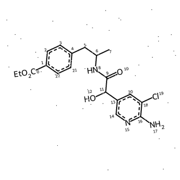 CCOC(=O)c1ccc(CC(C)NC(=O)C(O)c2cnc(N)c(Cl)c2)cc1